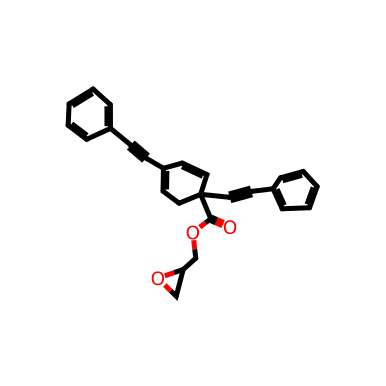 O=C(OCC1CO1)C1(C#Cc2ccccc2)C=CC(C#Cc2ccccc2)=CC1